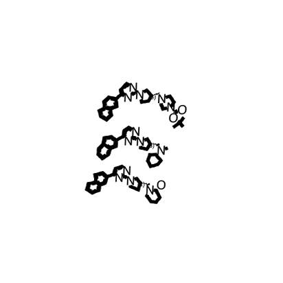 CC(C)(C)OC(=O)N1CCN(C[C@@H]2CCN(c3nccc(-c4ccc5ccccc5c4)n3)C2)CC1.CN(C[C@@H]1CCN(c2nccc(-c3ccc4ccccc4c3)n2)C1)C1CCCCC1.O=C1CCCCN1C[C@@H]1CCN(c2nccc(-c3ccc4ccccc4c3)n2)C1